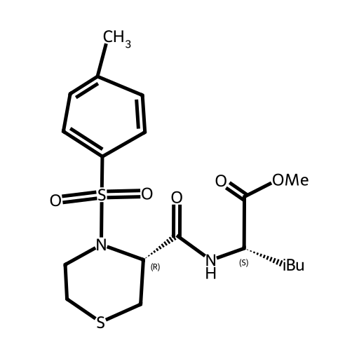 CCC(C)[C@H](NC(=O)[C@@H]1CSCCN1S(=O)(=O)c1ccc(C)cc1)C(=O)OC